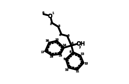 COCCCCC(O)(c1ccccc1)c1ccccc1